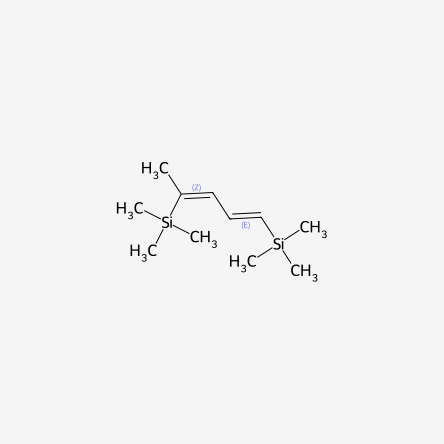 C/C(=C/C=C/[Si](C)(C)C)[Si](C)(C)C